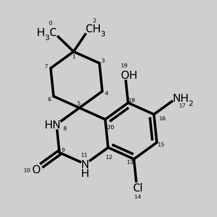 CC1(C)CCC2(CC1)NC(=O)Nc1c(Cl)cc(N)c(O)c12